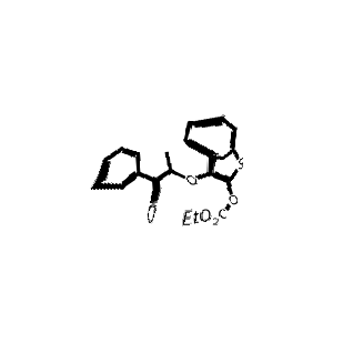 CCOC(=O)Oc1sc2ccccc2c1OC(C)C(=O)c1ccccc1